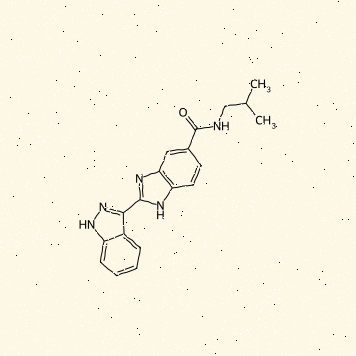 CC(C)CNC(=O)c1ccc2[nH]c(-c3n[nH]c4ccccc34)nc2c1